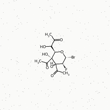 CC(=O)C(O)[C@H]1O[C@H](Br)[C@@H](F)[C@](O)(C(C)=O)[C@@]1(O)C(C)=O